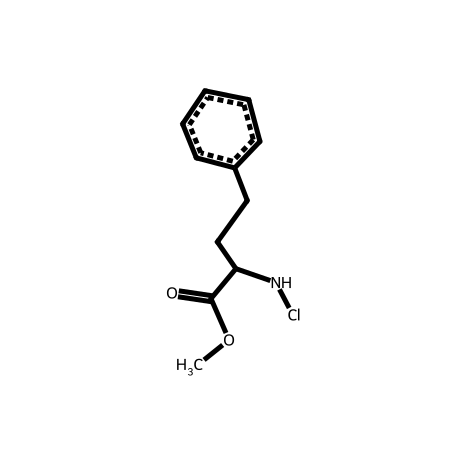 COC(=O)C(CCc1ccccc1)NCl